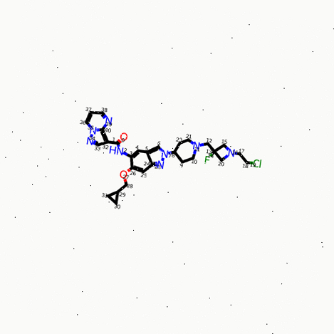 O=C(Nc1cc2cn(C3CCN(CC4(F)CN(CCCl)C4)CC3)nc2cc1OCC1CC1)c1cnn2cccnc12